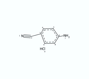 Cl.N#Cc1ccc(N)cc1